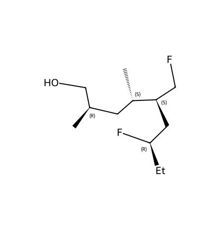 CC[C@@H](F)C[C@H](CF)[C@@H](C)C[C@@H](C)CO